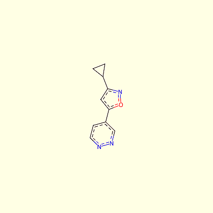 c1cc(-c2cc(C3CC3)no2)cnn1